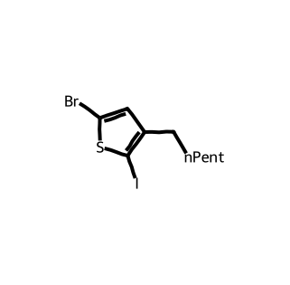 CCCCCCc1cc(Br)sc1I